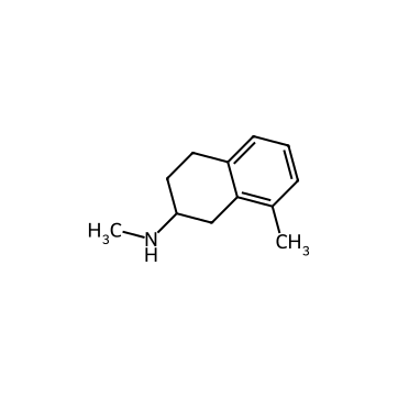 CNC1CCc2cccc(C)c2C1